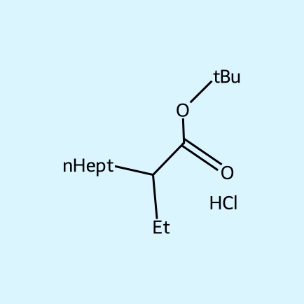 CCCCCCCC(CC)C(=O)OC(C)(C)C.Cl